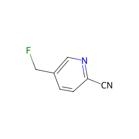 N#Cc1ccc(CF)cn1